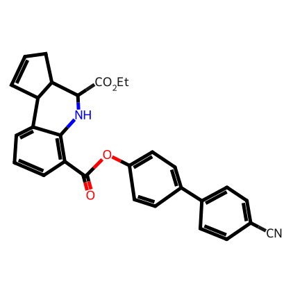 CCOC(=O)C1Nc2c(C(=O)Oc3ccc(-c4ccc(C#N)cc4)cc3)cccc2C2C=CCC12